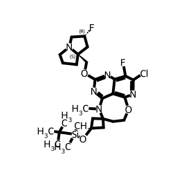 CN1c2nc(OC[C@@]34CCCN3C[C@H](F)C4)nc3c(F)c(Cl)nc(c23)OCCC12CC(O[Si](C)(C)C(C)(C)C)C2